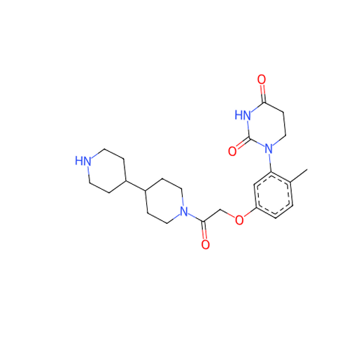 Cc1ccc(OCC(=O)N2CCC(C3CCNCC3)CC2)cc1N1CCC(=O)NC1=O